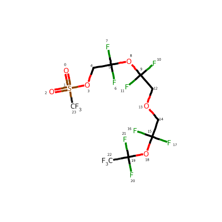 O=S(=O)(OCC(F)(F)OC(F)(F)COCC(F)(F)OC(F)(F)C(F)(F)F)C(F)(F)F